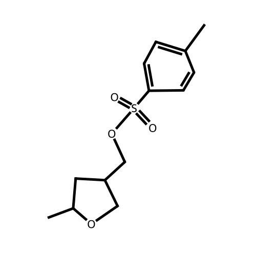 Cc1ccc(S(=O)(=O)OCC2COC(C)C2)cc1